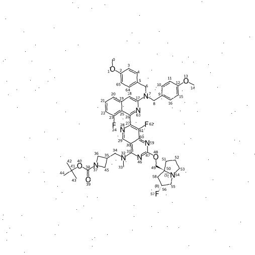 COc1ccc(CN(Cc2ccc(OC)cc2)c2cc3cccc(F)c3c(-c3ncc4c(N(C)CC5CN(C(=O)OC(C)(C)C)C5)nc(OC[C@@]56CCCN5C[C@H](F)C6)nc4c3F)n2)cc1